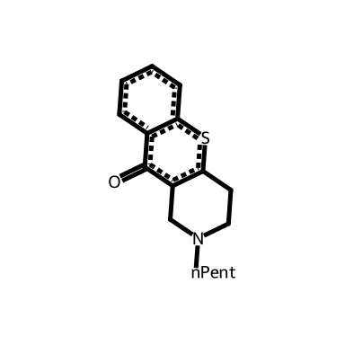 CCCCCN1CCc2sc3ccccc3c(=O)c2C1